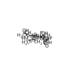 CC(C)OC(=O)[C@H](C)NP(=O)(OCCSC(=O)C(C)(C)CO)OC[C@@]1(CF)O[C@@H](n2ccc(=O)[nH]c2=O)[C@](C)(O)[C@@H]1O